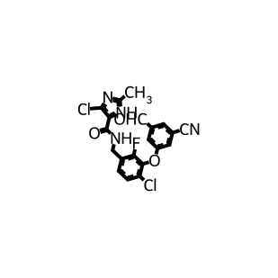 Cc1nc(Cl)c(C(=O)NCc2ccc(Cl)c(Oc3cc(C#N)cc(C=O)c3)c2F)[nH]1